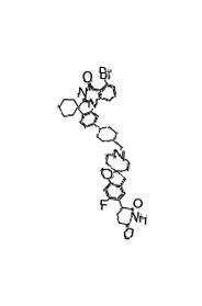 O=C1CCC(c2cc3c(cc2F)OC2(CCN(CC4CCC(c5ccc6c(c5)-n5c(nc(=O)c7c(Br)cccc75)C65CCCCC5)CC4)CC2)C3)C(=O)N1